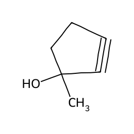 CC1(O)C#CCC1